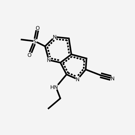 CCNc1nc(C#N)cc2cnc(S(C)(=O)=O)nc12